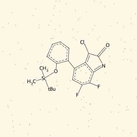 CC(C)(C)[Si](C)(C)Oc1ccccc1-c1cc(F)c(F)c2c1=C(Cl)C(=O)N=2